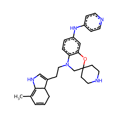 CC1=C2NC=C(CCN3CC4(CCNCC4)Oc4cc(Nc5ccncc5)ccc43)C2CC=C1